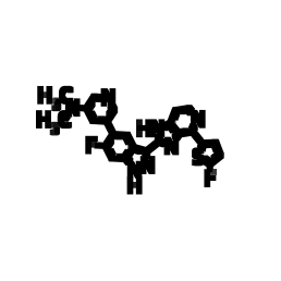 CN(C)c1cncc(-c2cc3c(-c4nc5c(-c6ccc(F)s6)nccc5[nH]4)n[nH]c3cc2F)c1